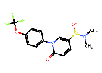 CN(C)[S+]([O-])c1ccc(=O)n(-c2ccc(OC(F)(F)F)cc2)c1